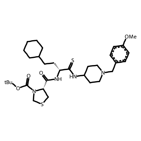 COc1ccc(CN2CCC(NC(=S)[C@@H](CCC3CCCCC3)NC(=O)[C@@H]3CSCN3C(=O)OC(C)(C)C)CC2)cc1